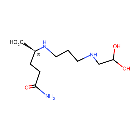 NC(=O)CC[C@H](NCCCNCC(O)O)C(=O)O